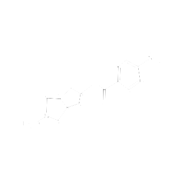 O=C(OC1CC2CN(C(=O)O)CC2C1)c1ccc([N+](=O)[O-])cc1